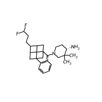 CC1(C)CN(C(=S)C23CC4C(CCC(F)F)C5CC(c6ccccc6)(C2)C453)CC[C@@H]1N